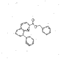 O=C(OCc1ccccc1)c1ccc2cccc(-c3c#cccc3)c2n1